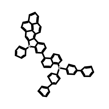 c1ccc(-c2ccc(N(c3ccc(-c4ccccc4)cc3)c3cccc4c(-c5ccc6c7c8ccc9cccc%10ccc(cc7n(-c7ccccc7)c6c5)c8c%109)cccc34)cc2)cc1